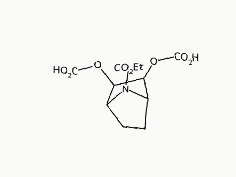 CCOC(=O)N1C2CCC1C(OC(=O)O)C2OC(=O)O